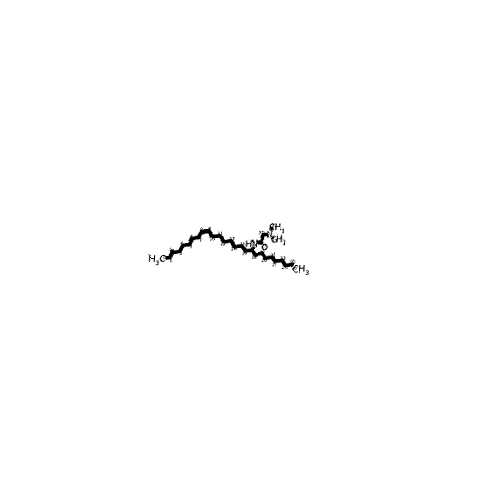 CCCCCCCC/C=C\CCCCCCCC(CCCCCCCCC)NC(=O)CN(C)C